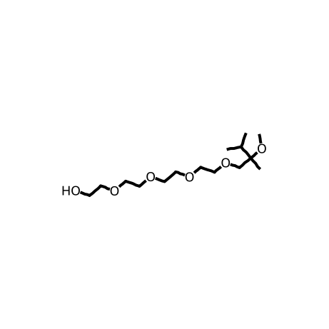 COC(C)(COCCOCCOCCOCCO)C(C)C